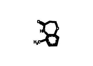 Cc1cccc2c1NC(=O)CCO2